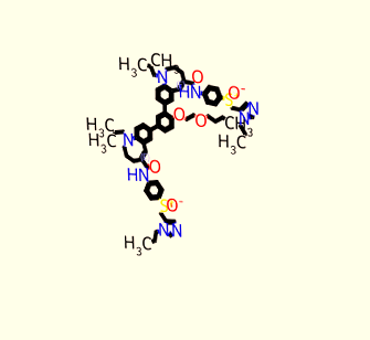 CCCCOCCOc1ccc(-c2ccc3c(c2)/C=C(/C(=O)Nc2ccc([S+]([O-])Cc4cncn4CCC)cc2)CCCN3CC(C)C)cc1-c1ccc2c(c1)/C=C(/C(=O)Nc1ccc([S+]([O-])Cc3cncn3CCC)cc1)CCCN2CC(C)C